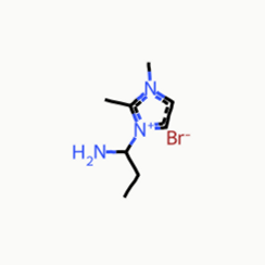 CCC(N)[n+]1ccn(C)c1C.[Br-]